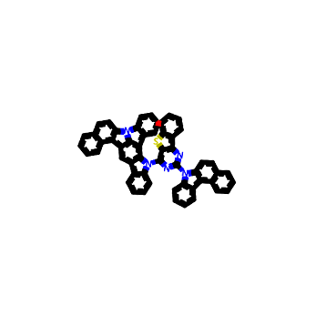 c1ccc2c(c1)ccc1c2c2ccccc2n1-c1nc(-n2c3ccccc3c3cc4c5c6ccccc6ccc5n5c6ccccc6c(c32)c45)c2sc3ccccc3c2n1